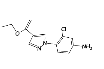 C=C(OCC)c1cnn(-c2ccc(N)cc2Cl)c1